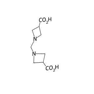 O=C(O)C1CN(CN2CC(C(=O)O)C2)C1